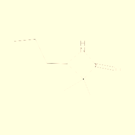 CCCC1NC(=O)C1(C)C